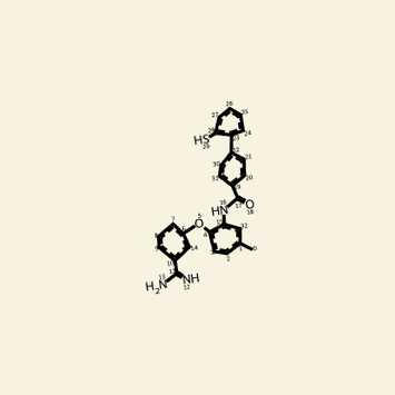 Cc1ccc(Oc2cccc(C(=N)N)c2)c(NC(=O)c2ccc(-c3ccccc3S)cc2)c1